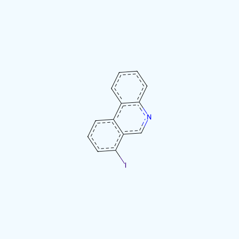 Ic1cccc2c1cnc1ccccc12